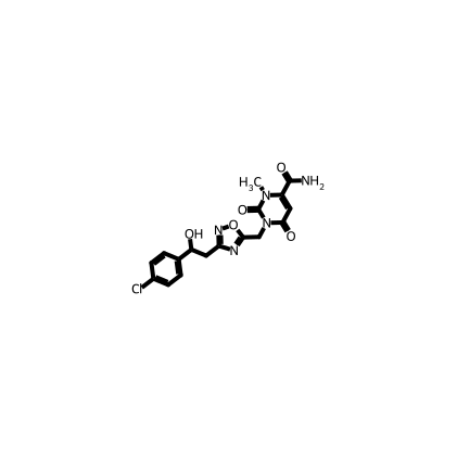 Cn1c(C(N)=O)cc(=O)n(Cc2nc(CC(O)c3ccc(Cl)cc3)no2)c1=O